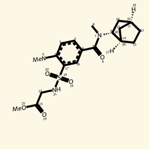 CNc1ccc(C(=O)N(C)[C@@H]2C[C@H]3CC[C@@H]2C3)cc1S(=O)(=O)NCC(=O)OC